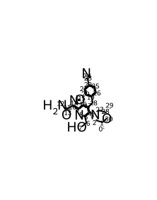 C[C@@H]1CN(c2c(CO)nc3c(C(N)=O)noc3c2Cc2ccc(C#N)cc2)C[C@H](C)O1